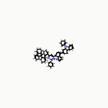 C1=C(c2ccc(-c3ccc4c5ccccc5n(-c5ccccc5)c4c3)c3ccccc23)NC(c2ccccc2)N=C1c1cccc2c1-c1ccccc1C2(c1ccccc1)c1ccccc1